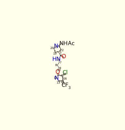 CC(=O)Nc1cc(C(=O)NCCCOc2ncc(C(F)(F)F)cc2Cl)ccn1